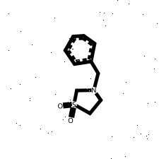 O=S1(=O)CCN(Cc2ccccc2)C1